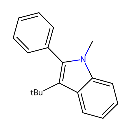 Cn1c(-c2ccccc2)c(C(C)(C)C)c2ccccc21